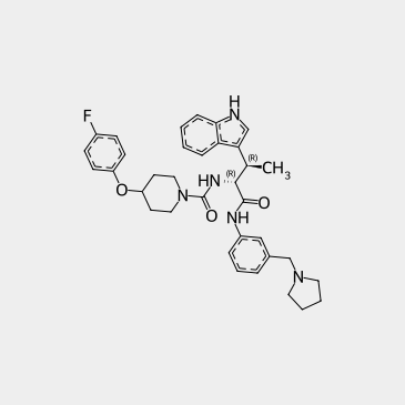 C[C@H](c1c[nH]c2ccccc12)[C@@H](NC(=O)N1CCC(Oc2ccc(F)cc2)CC1)C(=O)Nc1cccc(CN2CCCC2)c1